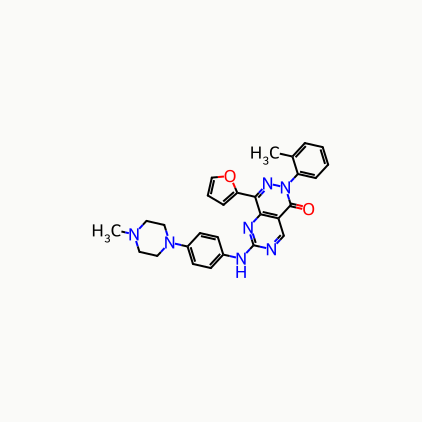 Cc1ccccc1-n1nc(-c2ccco2)c2nc(Nc3ccc(N4CCN(C)CC4)cc3)ncc2c1=O